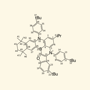 CC(C)c1cc2c3c(c1)N(c1ccc(C(C)(C)C)cc1)c1c(oc4ccc(C(C)(C)C)cc14)B3c1cc3c(cc1N2c1ccc(C(C)(C)C)cc1)C(C)(C)CCC3(C)C